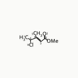 COC(=O)/C=C(\C)C(C)Cl